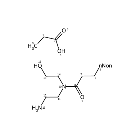 CCC(=O)O.CCCCCCCCCCCC(=O)N(CCN)CCO